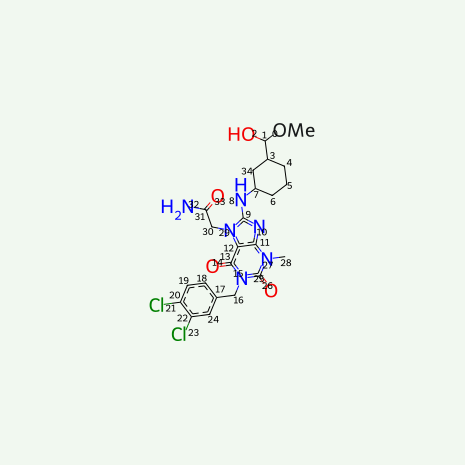 COC(O)C1CCCC(Nc2nc3c(c(=O)n(Cc4ccc(Cl)c(Cl)c4)c(=O)n3C)n2CC(N)=O)C1